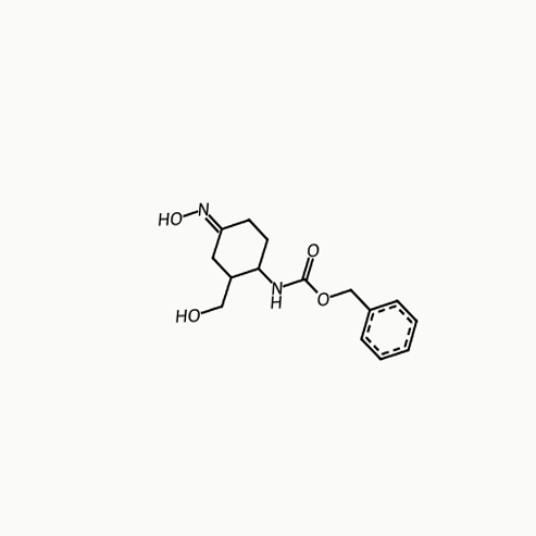 O=C(NC1CC/C(=N/O)CC1CO)OCc1ccccc1